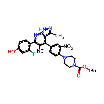 [C-]#[N+]c1c(-c2ccc(O)cc2F)nc2[nH]nc(C)c2c1-c1ccc(N2CCN(C(=O)OC(C)(C)C)CC2)c([N+](=O)[O-])c1